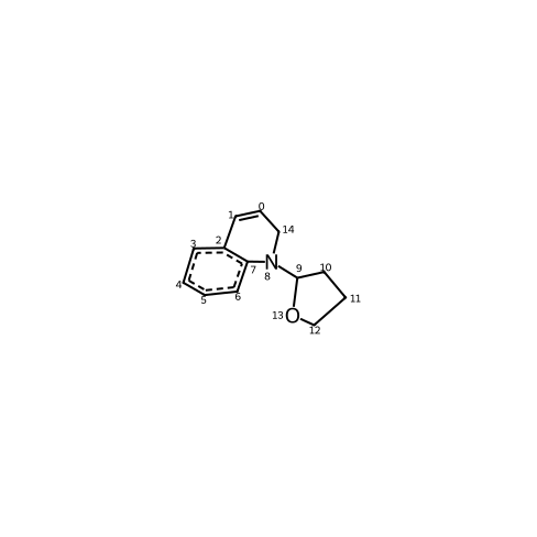 C1=Cc2ccccc2N(C2CCCO2)C1